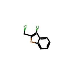 ClCc1sc2ccccc2c1Cl